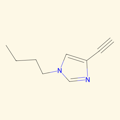 C#Cc1cn(CCCC)cn1